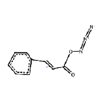 [N-]=[N+]=NOC(=O)/C=C/c1ccccc1